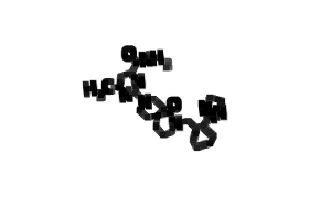 Cc1cc(C(N)=O)nc(N2CCC3(CCCN(Cc4ccccc4-n4nccn4)C3=O)CC2)n1